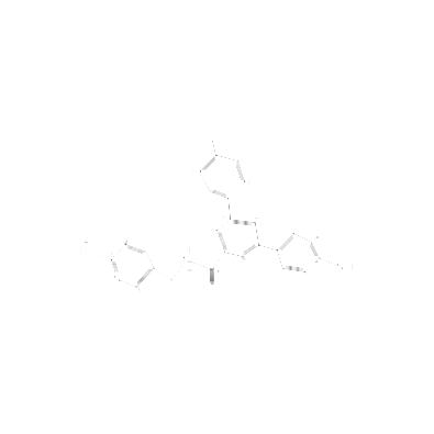 Cc1ccc(-c2cc(C(=O)NCc3ccc(C)nc3)cc(-c3ccc(N)cc3)c2)cc1